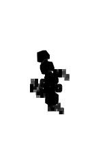 CC1(C)c2cc(N3CCC(N4CCCC4)CC3)c(N)cc2C(=O)c2c1[nH]c1cc(N)ccc21